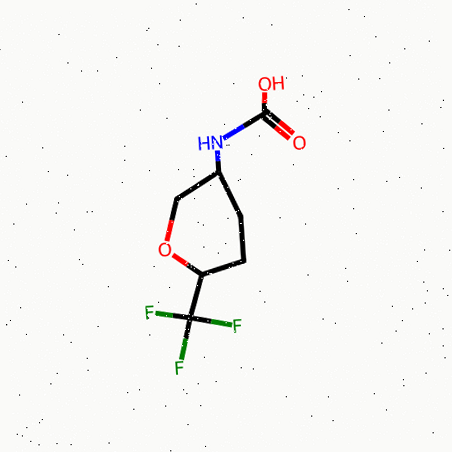 O=C(O)NC1CCC(C(F)(F)F)OC1